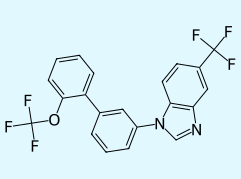 FC(F)(F)Oc1ccccc1-c1cccc(-n2cnc3cc(C(F)(F)F)ccc32)c1